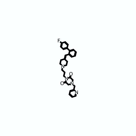 O=C1CN(Cc2ccccn2)CC(=O)N1CCCN1CCC(=Cc2ccccc2-c2ccc(F)cc2)CC1